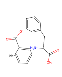 NC(Cc1ccccc1)C(=O)O.O=C([O-])c1ccccc1.[Na+]